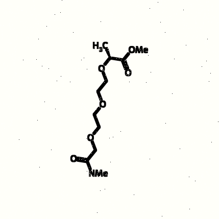 CNC(=O)COCCOCCO[C@@H](C)C(=O)OC